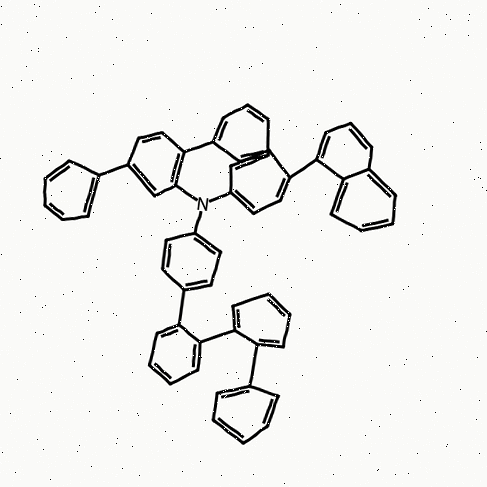 c1ccc(-c2ccc(-c3ccccc3)c(N(c3ccc(-c4ccccc4-c4ccccc4-c4ccccc4)cc3)c3ccc(-c4cccc5ccccc45)cc3)c2)cc1